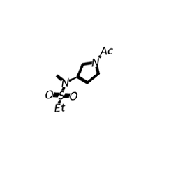 CCS(=O)(=O)N(C)[C@@H]1CCN(C(C)=O)C1